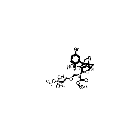 CC(C)(C)OC(=O)N(COCC[Si](C)(C)C)C1=N[C@](CF)(c2cc(Br)ccc2F)[C@@H]2C[C@]2(C=CC(=O)O)S1